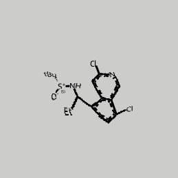 CCC(N[S@+]([O-])C(C)(C)C)c1ccc(Cl)c2cnc(Cl)cc12